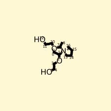 CC(OCCO)[N+]1(C(C)OCCO)CCCC1